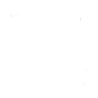 CCS(=O)(=O)c1ccc(Sc2cc(F)ccc2OCC(=O)O)c(Cl)c1